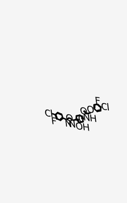 O=C(COc1ccc(Cl)c(F)c1)NC12CCC(c3nnc(-c4ccc(Cl)c(F)c4)o3)(CC1)C(O)C2